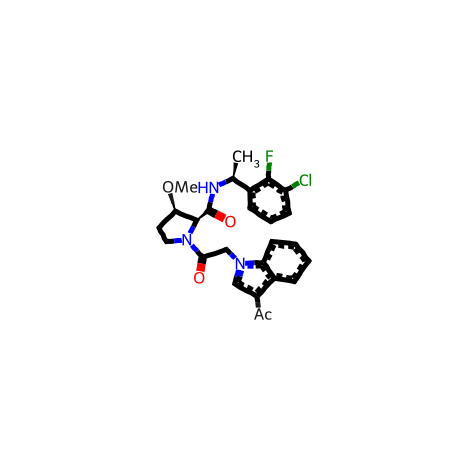 CO[C@@H]1CCN(C(=O)Cn2cc(C(C)=O)c3ccccc32)[C@@H]1C(=O)N[C@@H](C)c1cccc(Cl)c1F